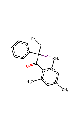 Cc1cc(C)c(C(=O)C(P)(CC(C)C)c2ccccc2)c(C)c1